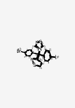 Brc1ccc(C(c2ccc(I)cc2)(c2ccsn2)n2cnnc2)cc1